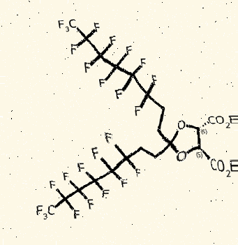 CCOC(=O)[C@H]1OC(CCC(F)(F)C(F)(F)C(F)(F)C(F)(F)C(F)(F)C(F)(F)F)(CCC(F)(F)C(F)(F)C(F)(F)C(F)(F)C(F)(F)C(F)(F)F)O[C@@H]1C(=O)OCC